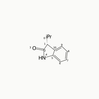 CC(C)[C@H]1C(=O)Nc2ccccc21